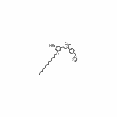 Br.CCCCCCCCCCCCOc1cccc(CCN(C(C)=O)c2ccc(CN3C=CSC3)cc2)c1